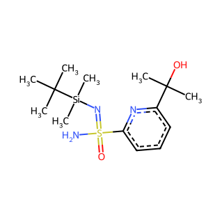 CC(C)(O)c1cccc(S(N)(=O)=N[Si](C)(C)C(C)(C)C)n1